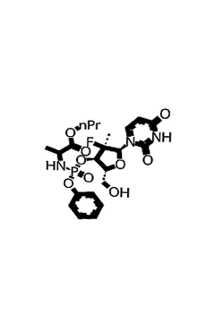 CCCOC(=O)C(C)N[P@](=O)(Oc1ccccc1)O[C@@H]1[C@@H](CO)O[C@H](n2ccc(=O)[nH]c2=O)[C@]1(C)F